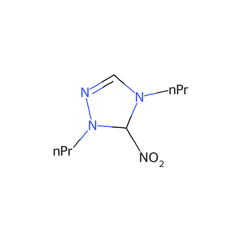 CCCN1C=NN(CCC)C1[N+](=O)[O-]